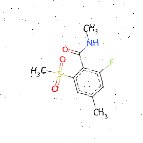 CNC(=O)c1c(F)cc(C)cc1S(C)(=O)=O